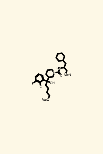 CNCC(CC1CCCCC1)NC(=O)N1CCCC(C(O)(CCCCOC)c2cccc(F)c2Cl)C1